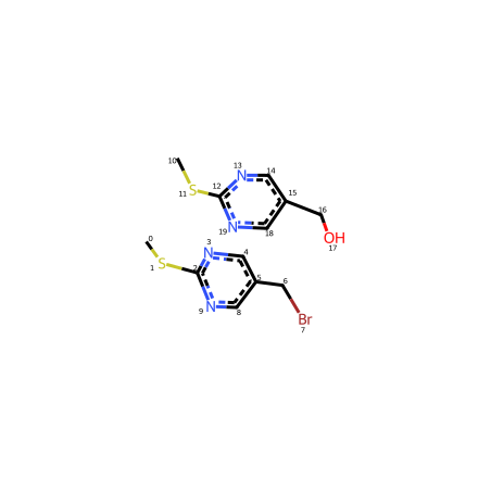 CSc1ncc(CBr)cn1.CSc1ncc(CO)cn1